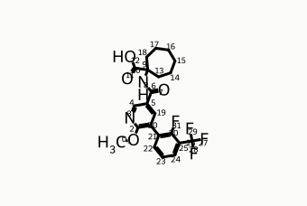 COc1ncc(C(=O)NC2(C(=O)O)CCCCCC2)cc1-c1cccc(C(F)(F)F)c1F